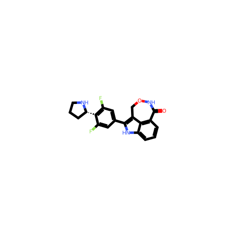 O=C1NOCc2c(-c3cc(F)c([C@@H]4CCCN4)c(F)c3)[nH]c3cccc1c23